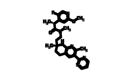 COc1cc([C@@H](C)C(=O)N(C)CC[C@@]2(C)CCc3cc(-c4ncccn4)c(C)nc3N2)c(F)cn1